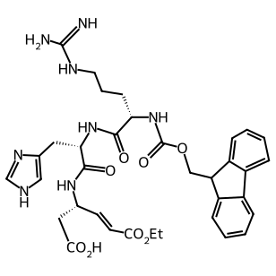 CCOC(=O)/C=C/[C@H](CC(=O)O)NC(=O)[C@H](Cc1c[nH]cn1)NC(=O)[C@H](CCCNC(=N)N)NC(=O)OCC1c2ccccc2-c2ccccc21